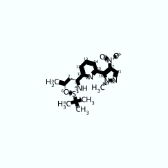 C=CC[C@@H](N[S+]([O-])C(C)(C)C)c1cccc(-c2c([N+](=O)[O-])cnn2C)n1